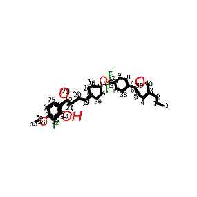 CCCC1CCC(C2CCC(C(F)(F)OC3CCC(CCCC(=O)c4ccc(OCC)c(F)c4O)CC3)CC2)OC1